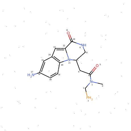 CN(CP)C(=O)CC1CNC(=O)c2cc3cc(N)ccc3n21